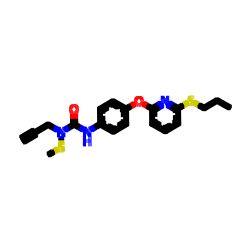 C#CCN(SC)C(=O)Nc1ccc(Oc2cccc(SCCC)n2)cc1